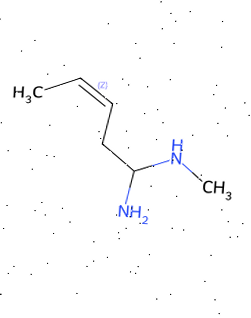 C/C=C\CC(N)NC